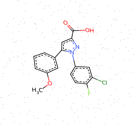 COc1cccc(-c2cc(C(=O)O)nn2-c2ccc(F)c(Cl)c2)c1